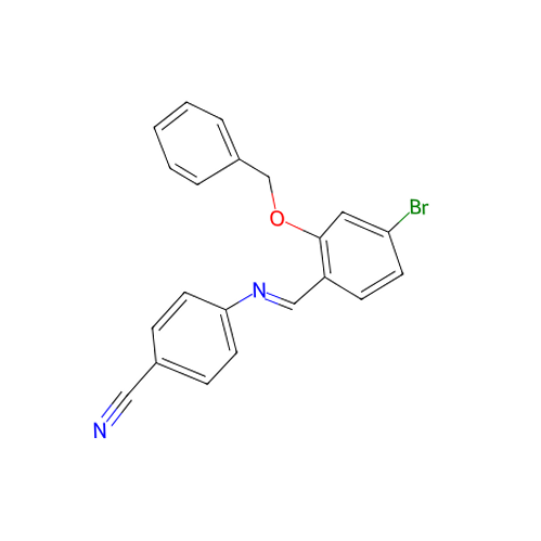 N#Cc1ccc(/N=C/c2ccc(Br)cc2OCc2ccccc2)cc1